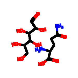 NC(=O)CCC(N)C(=O)O.O=CC(O)C(O)C(O)C(O)CO